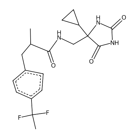 CC(Cc1ccc(C(C)(F)F)cc1)C(=O)NCC1(C2CC2)NC(=O)NC1=O